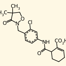 CC1(C)CON(Cc2ccc(NC(=O)C3CCCC=C3C(=O)O)cc2Cl)C1=O